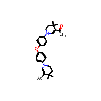 CC(=O)C1=CN(c2ccc(Oc3ccc(N4C=C(C(=O)C(F)(F)F)C(C)(C)CC4)cc3)cc2)CCC1(C)C